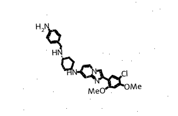 COc1cc(OC)c(-c2cn3ccc(N[C@H]4CC[C@@H](NCc5ccc(N)cc5)CC4)cc3n2)cc1Cl